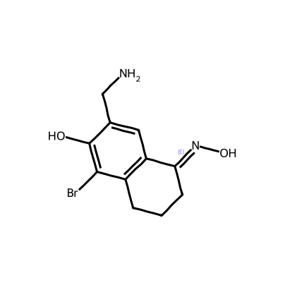 NCc1cc2c(c(Br)c1O)CCC/C2=N\O